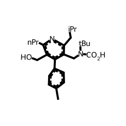 CCCc1nc(CC(C)C)c(CN(C(=O)O)C(C)(C)C)c(-c2ccc(C)cc2)c1CO